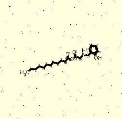 CCCCCCCCCCCC(=O)OC(=O)CNCc1ccccc1O